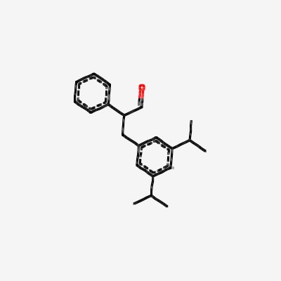 CC(C)c1[c]c(C(C)C)cc(CC(C=O)c2ccccc2)c1